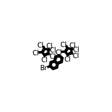 Brc1ccc2ccccc2c1.ClC1=C(Cl)C(Cl)(Cl)C(Cl)=C1Cl.ClC1=C(Cl)C(Cl)(Cl)C(Cl)=C1Cl